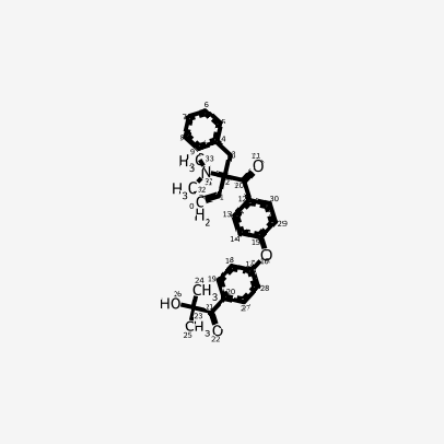 C=CC(Cc1ccccc1)(C(=O)c1ccc(Oc2ccc(C(=O)C(C)(C)O)cc2)cc1)N(C)C